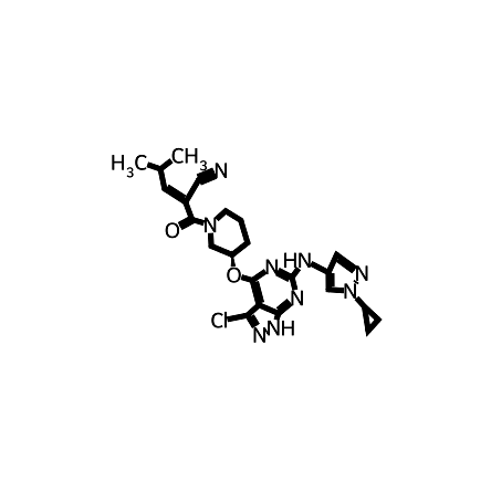 CC(C)C=C(C#N)C(=O)N1CCC[C@@H](Oc2nc(Nc3cnn(C4CC4)c3)nc3[nH]nc(Cl)c23)C1